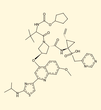 C=C[C@@H]1C[C@]1(NC(=O)[C@@H]1C[C@@H](Oc2cc(-c3csc(NC(C)C)n3)nc3cc(OC)ccc23)CN1C(=O)C(NC(=O)OC1CCCC1)C(C)(C)C)P(=O)(O)Cc1ccncn1